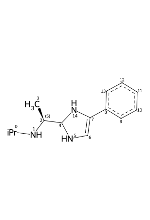 CC(C)N[C@@H](C)C1NC=C(c2ccccc2)N1